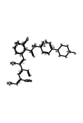 C=CC(=C\C(=C/N)OC)/C(N)=C/c1cc[nH]c(=O)c1C(=C)NC(=C)/C=C\C(=C/N)C1CCN(C)CC1